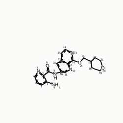 Nc1cccnc1C(=O)Nc1cnc2c(OCC3CCOCC3)nccc2c1